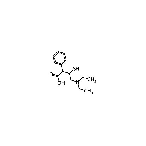 CCN(CC)CC(S)C(C(=O)O)c1ccccc1